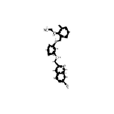 Cc1cccc(COc2cccc(OCc3cc4ccc(Cl)cc4cn3)c2)c1OCC#N